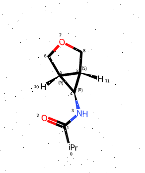 CC(C)C(=O)N[C@H]1[C@@H]2COC[C@@H]21